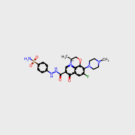 C[C@H]1COc2c(N3CCN(C)CC3)c(F)cc3c(=O)c(C(=O)NNc4ccc(S(N)(=O)=O)cc4)cn1c23